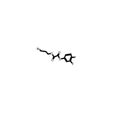 O=C(OCCCBr)C(=O)Oc1ccc(F)c(F)c1